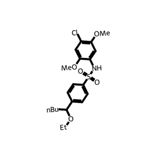 CCCCC(OCC)c1ccc(S(=O)(=O)Nc2cc(OC)c(Cl)cc2OC)cc1